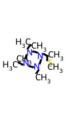 CCCN1CCN(CC(C)C)CCN(CC(C)C)CCN(CC(C)CSC)CC1